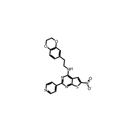 O=[N+]([O-])c1cc2c(NCCc3ccc4c(c3)OCCO4)nc(-c3ccncc3)nc2s1